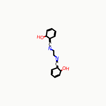 OC1C=CC=CC1=C=NCCN=C=C1C=CC=CC1O